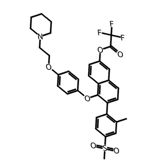 Cc1cc(S(C)(=O)=O)ccc1-c1ccc2cc(OC(=O)C(F)(F)F)ccc2c1Oc1ccc(OCCN2CCCCC2)cc1